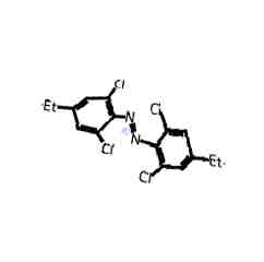 [CH2][CH]c1cc(Cl)c(/N=N/c2c(Cl)cc([CH][CH2])cc2Cl)c(Cl)c1